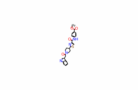 CC(C)OC(=O)c1ccc(NC(=O)c2csc(C3CCN(C(=O)CC4C=Nc5ccccc54)CC3)n2)cc1